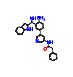 N=C(c1cc2ccccc2[nH]1)c1cc(-c2cncc(NC(=O)Cc3ccccc3)c2)ccc1N